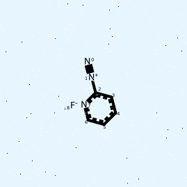 N#[N+]c1ccccn1.[F-]